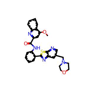 COc1cc(C(=O)Nc2ccccc2-c2nc3cc(CN4CCOCC4)cnc3s2)nc2ccccc12